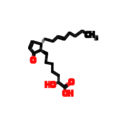 CCCCC=CCC[C@H]1C=CC(=O)[C@@H]1CCCCCC(O)C(=O)O